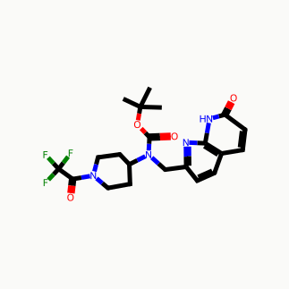 CC(C)(C)OC(=O)N(Cc1ccc2ccc(=O)[nH]c2n1)C1CCN(C(=O)C(F)(F)F)CC1